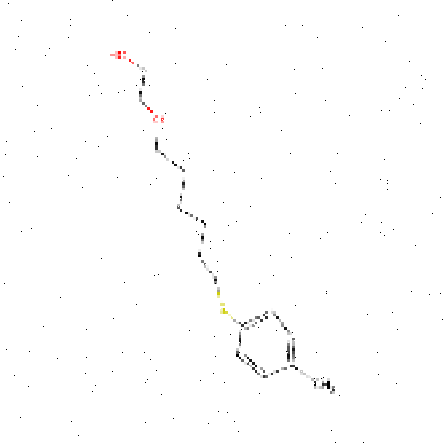 Cc1ccc(SCCCCCCOCCO)cc1